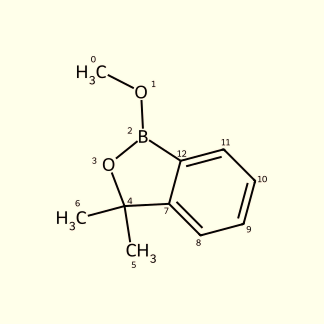 COB1OC(C)(C)c2ccccc21